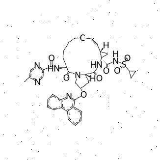 Cc1cnc(C(=O)N[C@H]2CCCCC/C=C\[C@@H]3C[C@@]3(C(=O)NS(=O)(=O)C3CC3)NC(=O)[C@@H]3CC(Oc4nc5ccccc5c5ccccc45)CN3C2=O)cn1